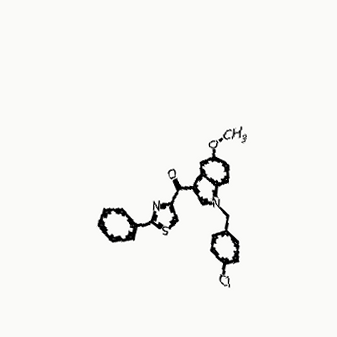 COc1ccc2c(c1)c(C(=O)c1csc(-c3ccccc3)n1)cn2Cc1ccc(Cl)cc1